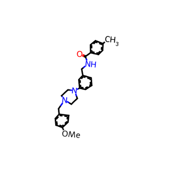 COc1ccc(CN2CCN(c3cccc(CNC(=O)c4ccc(C)cc4)c3)CC2)cc1